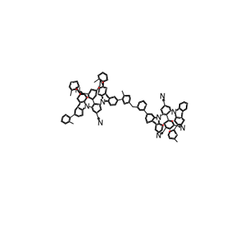 Cc1cccc(-c2ccc3c4ccccc4n(-c4cc(C#N)cc(-n5c6ccccc6c6ccc(-c7cccc(Cc8ccc(C)c(-c9ccc%10c(c9)c9cc(-c%11ccccc%11C)ccc9n%10-c9cc(C#N)cc(-n%10c%11ccc(-c%12ccccc%12C)cc%11c%11cc(-c%12ccccc%12C)ccc%11%10)c9-c9cc(C#N)cc(C#N)c9)c8)c7)cc65)c4-c4cc(C#N)cc(C#N)c4)c3c2)c1